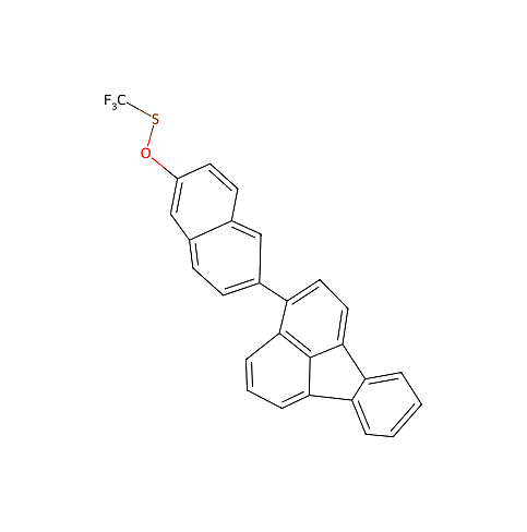 FC(F)(F)SOc1ccc2cc(-c3ccc4c5c(cccc35)-c3ccccc3-4)ccc2c1